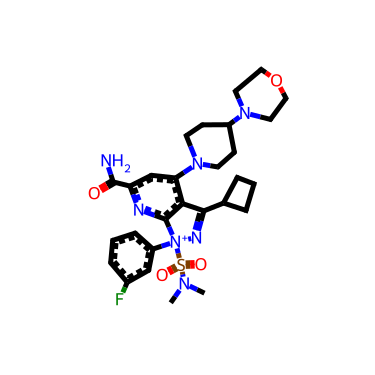 CN(C)S(=O)(=O)[N+]1(c2cccc(F)c2)N=C(C2CCC2)c2c(N3CCC(N4CCOCC4)CC3)cc(C(N)=O)nc21